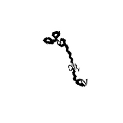 O=C(C=CC=Cc1cccnc1)NCCCCCCC1CCN(C(c2ccccc2)c2ccccc2)CC1